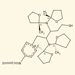 C[C@@]1(N(C(CCS)C(Cc2ccc(N=C=S)cc2)N([C@]2(C)CCCO2)[C@]2(C)CCCO2)[C@]2(C)CCCO2)CCCO1